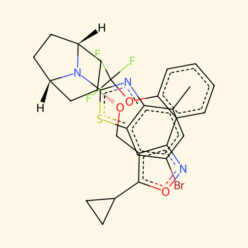 Cc1cc(Br)cc2sc(N3[C@@H]4CC[C@H]3C[C@@H](OCc3c(-c5ccccc5OC(F)(F)F)noc3C3CC3)C4)nc12